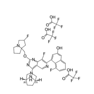 O=C(O)C(F)(F)F.O=C(O)C(F)(F)F.O=C(O)C(F)(F)F.Oc1cc(-c2ncc3c(N4C[C@H]5CC[C@@H](C4)N5)nc(OCC45CCCN4CC(F)C5)nc3c2F)c2c(F)cccc2c1